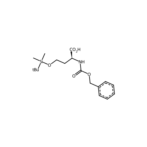 CC(C)(C)[Si](C)(C)OCC[C@H](NC(=O)OCc1ccccc1)C(=O)O